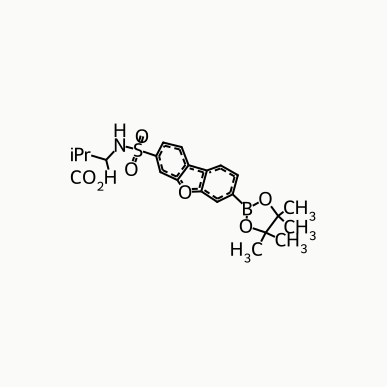 CC(C)C(NS(=O)(=O)c1ccc2c(c1)oc1cc(B3OC(C)(C)C(C)(C)O3)ccc12)C(=O)O